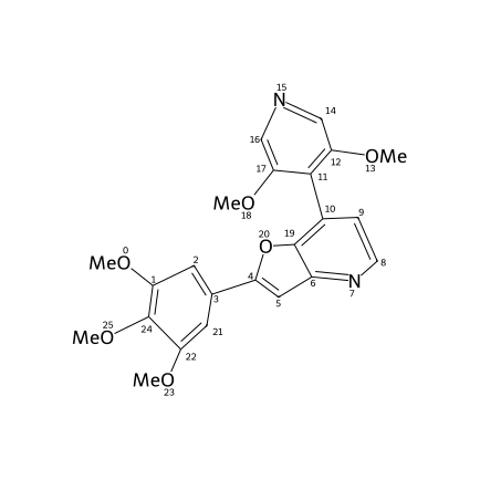 COc1cc(-c2cc3nccc(-c4c(OC)cncc4OC)c3o2)cc(OC)c1OC